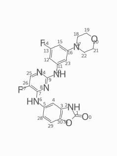 O=c1[nH]c2cc(Nc3nc(Nc4cc(F)cc(N5CCOCC5)c4)ncc3F)ccc2o1